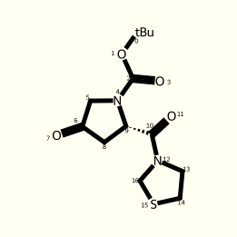 CC(C)(C)OC(=O)N1CC(=O)C[C@H]1C(=O)N1CCSC1